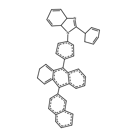 C1=CCC(C2=NC3C=CC=CC3N2c2ccc(-c3c4c(c(-c5ccc6ccccc6c5)c5ccccc35)=CCCC=4)cc2)C=C1